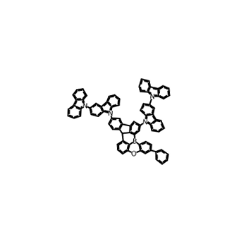 c1ccc(-c2ccc3c(c2)Oc2cccc4c2B3c2cc(-n3c5ccccc5c5cc(-n6c7ccccc7c7ccccc76)ccc53)cc3c2C4c2ccc(-n4c5ccccc5c5cc(-n6c7ccccc7c7ccccc76)ccc54)cc2-3)cc1